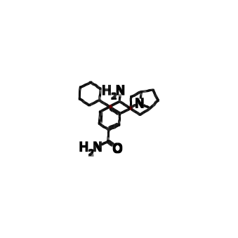 NC(=O)c1cccc(C2CC3CCC(C2)N3CC(N)CC2CCCCC2)c1